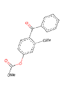 COC(=O)Oc1ccc(C(=O)c2ccccc2)c(OC)c1